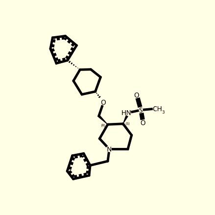 CS(=O)(=O)N[C@H]1CCN(Cc2ccccc2)C[C@H]1CO[C@H]1CC[C@@H](c2ccccc2)CC1